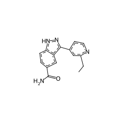 CCc1cc(-c2n[nH]c3ccc(C(N)=O)cc23)ccn1